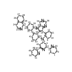 c1ccc(-c2cc(N3c4ccccc4-c4c(n(-c5ccc(-c6nccc7ccccc67)cc5)c5cncnc45)-c4ccccc43)cc(-c3ccccn3)n2)nc1